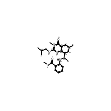 COC(=O)c1ccccc1NC(C)c1cc(C)cc2c(=O)n(C)c(OCC(C)C)nc12